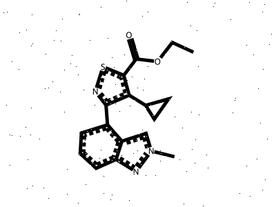 CCOC(=O)c1snc(-c2cccc3nn(C)cc23)c1C1CC1